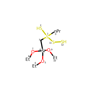 CCCS(S)(C[Si](OCC)(OCC)OCC)SS